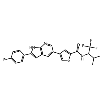 CC(C)C(NC(=O)c1cc(-c2cnc3[nH]c(-c4ccc(F)cc4)cc3c2)cs1)C(F)(F)F